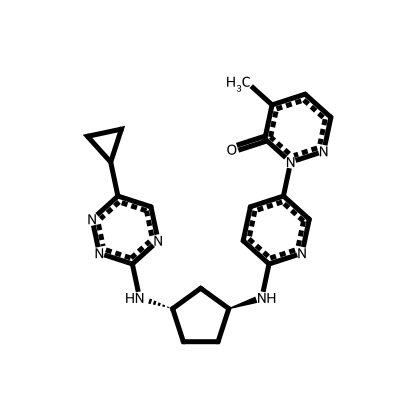 Cc1ccnn(-c2ccc(N[C@H]3CC[C@H](Nc4ncc(C5CC5)nn4)C3)nc2)c1=O